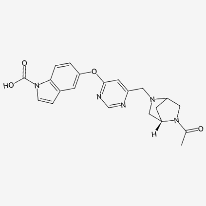 CC(=O)N1CC2C[C@H]1CN2Cc1cc(Oc2ccc3c(ccn3C(=O)O)c2)ncn1